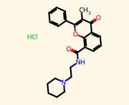 Cc1c(-c2ccccc2)oc2c(C(=O)NCCN3CCCCC3)cccc2c1=O.Cl